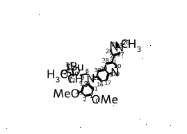 COc1cc(OC)cc(N(CCO[Si](C)(C)C(C)(C)C)c2ccc3ncc(-c4cnn(C)c4)cc3c2)c1